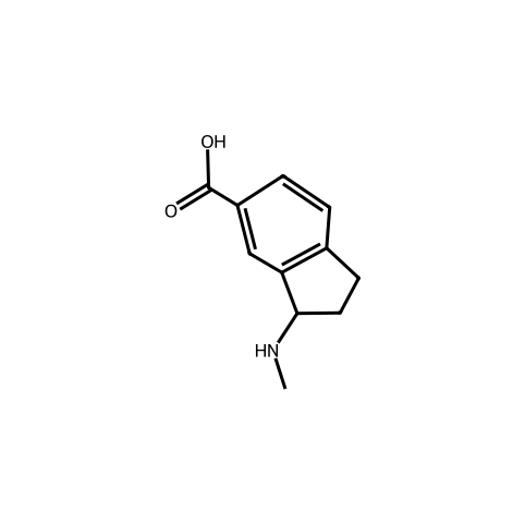 CNC1CCc2ccc(C(=O)O)cc21